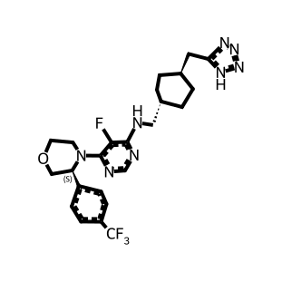 Fc1c(NC[C@H]2CC[C@H](Cc3nnn[nH]3)CC2)ncnc1N1CCOC[C@@H]1c1ccc(C(F)(F)F)cc1